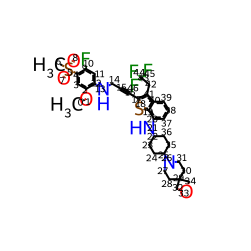 COc1cc(S(C)(=O)=O)c(F)cc1NCC#Cc1sc2c(NC3CCC(N4CCC5(CC4)COC5)CC3)cccc2c1CC(F)(F)F